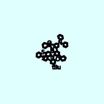 CC(C)(C)c1ccc(N2c3cc4c(cc3B3c5c(cc6c(oc7ccccc76)c52)-c2cc(N(c5ccccc5)c5ccccc5)cc5c6oc7ccccc7c6n3c25)Sc2ccccc2S4)c(-c2ccccc2)c1